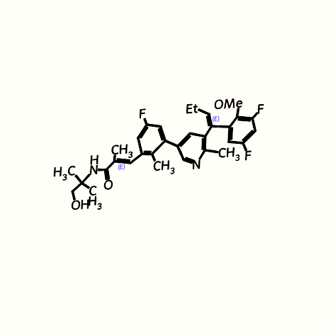 CC/C=C(\c1cc(-c2cc(F)cc(/C=C(\C)C(=O)NC(C)(C)CO)c2C)cnc1C)c1cc(F)cc(F)c1OC